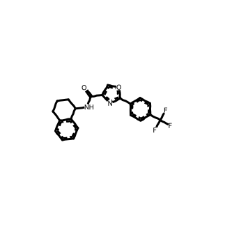 O=C(NC1CCCc2ccccc21)c1coc(-c2ccc(C(F)(F)F)cc2)n1